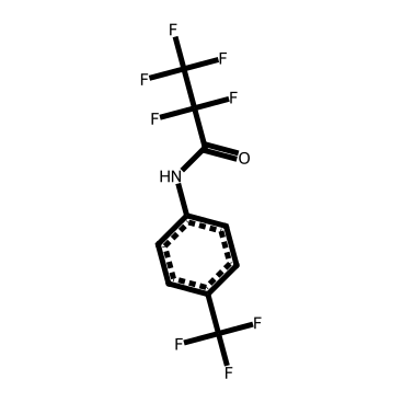 O=C(Nc1ccc(C(F)(F)F)cc1)C(F)(F)C(F)(F)F